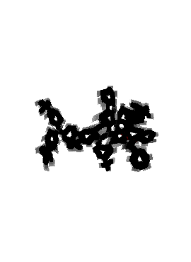 CC(C)(C)c1ccc(N2B3c4cc5sc(-c6ccccc6)c(-c6ccccc6)c5cc4N(c4ccc(C(C)(C)C)cc4-c4ccccc4)c4c3c(cc3c4oc4ccccc43)-c3cc4c(cc32)C(C)(C)c2cc(N(c3ccc(C(C)(C)C)cc3)c3ccc(C(C)(C)C)cc3)ccc2-4)cc1